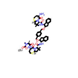 C[C@@H](C(=O)N[C@H]1CCS[C@H]2CC(C)(C)[C@@H](C(=O)N[C@H]3c4ccccc4C[C@H]3OCc3ccc(CO[C@@H]4Cc5ccccc5[C@@H]4NC(=O)[C@H]4N5C(=O)[C@@H](N)CCS[C@H]5CC4(C)C)cc3)N2C1=O)N(C)C(=O)OC(C)(C)C